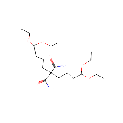 CCOC(CCCC(CCCC(OCC)OCC)(C(N)=O)C(N)=O)OCC